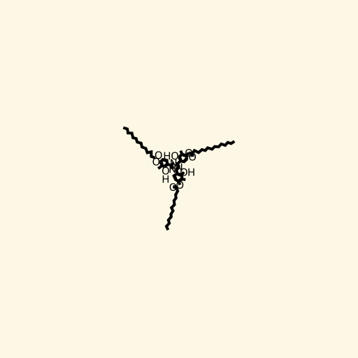 CCCCCCCCCCCCCC(=O)Oc1ccc(-c2nc(-c3ccc(OC(=O)CCCCCCCCCCCCC)c(C)c3O)nc(-c3ccc(OC(=O)CCCCCCCCCCCCC)c(C)c3O)n2)c(O)c1C